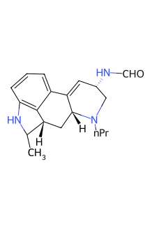 CCCN1C[C@@H](NC=O)C=C2c3cccc4c3[C@H](C[C@H]21)C(C)N4